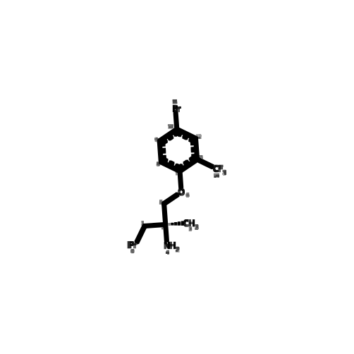 CC(C)C[C@](C)(N)COc1ccc(Br)cc1C(F)(F)F